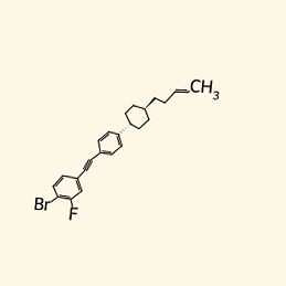 CC=CCC[C@H]1CC[C@H](c2ccc(C#Cc3ccc(Br)c(F)c3)cc2)CC1